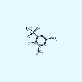 CS(=O)(=O)c1cc([N+](=O)[O-])cc([N+](=O)[O-])c1Cl